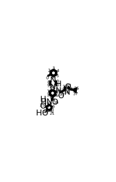 Cc1ccccc1N1CCN(c2ccc(C(=O)N[C@@H]3C[C@H](C)[C@@H](O)[C@H]3O)cc2NC(=O)c2coc(C3CC3)n2)CC1